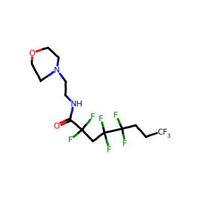 O=C(NCCN1CCOCC1)C(F)(F)CC(F)(F)C(F)(F)CCC(F)(F)F